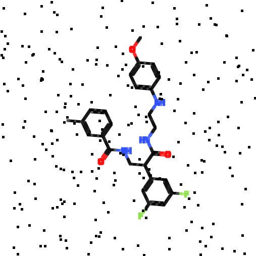 COc1ccc(NCCNC(=O)C(CNC(=O)c2cccc(C)c2)c2cc(F)cc(F)c2)cc1